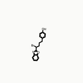 Oc1ccc(CCCC(Br)c2nc3ccccc3o2)cc1